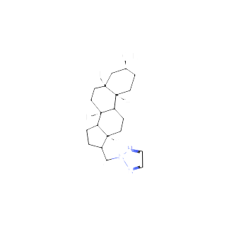 C[C@H]1CC[C@@H]2C3CC[C@@]4(C)C(CCC4[C@@H](C)n4nccn4)[C@@H]3CC[C@@H]2C1